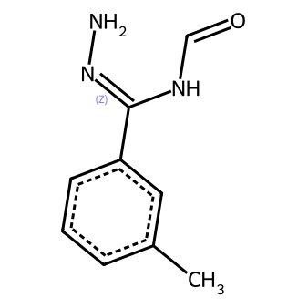 Cc1cccc(/C(=N/N)NC=O)c1